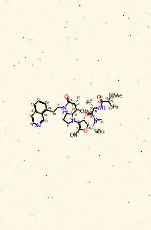 CC[C@H](C)C([C@H]1CC(N2CCC[C@H]2[C@H](OC)[C@@H](C)C(=O)NCCc2cccc3ccncc23)=C(N=O)O1)N(C)C(=O)[C@@H](NC(=O)[C@@H](NC)C(C)C)C(C)C